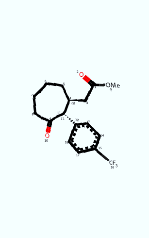 COC(=O)C[C@@H]1CCCCC(=O)[C@H]1c1ccc(C(F)(F)F)cc1